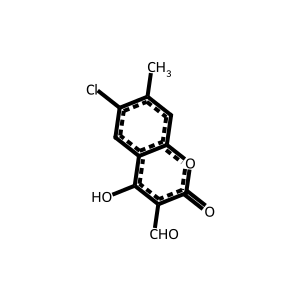 Cc1cc2oc(=O)c(C=O)c(O)c2cc1Cl